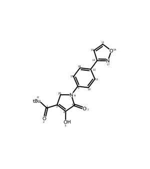 CC(C)(C)C(=O)C1=C(O)C(=O)N(c2ccc(-c3ccon3)cc2)C1